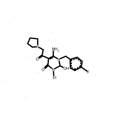 CCN1C(=O)C(C(=O)CN2CCCC2)=C(N)N(Cc2ccc(F)cc2)C1O